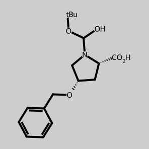 CC(C)(C)OC(O)N1C[C@@H](OCc2ccccc2)C[C@H]1C(=O)O